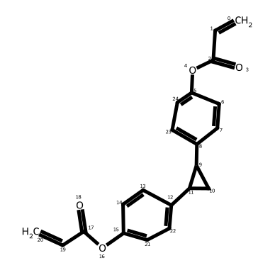 C=CC(=O)Oc1ccc(C2CC2c2ccc(OC(=O)C=C)cc2)cc1